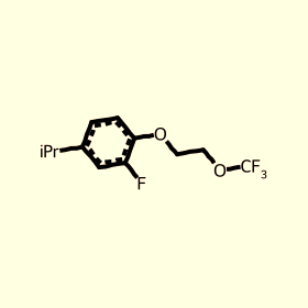 CC(C)c1ccc(OCCOC(F)(F)F)c(F)c1